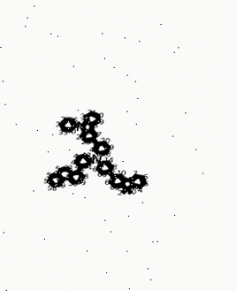 CC1(C)c2ccccc2-c2cc(-c3ccc(N(c4cccc(-c5ccc6c(c5)c5ccccc5n6-c5ccccc5)c4)c4cccc(-c5cccc6c5ccc5ccccc56)c4)cc3)ccc21